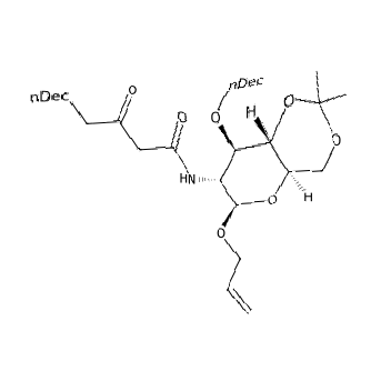 C=CCO[C@@H]1O[C@@H]2COC(C)(C)O[C@H]2[C@H](OCCCCCCCCCC)[C@H]1NC(=O)CC(=O)CCCCCCCCCCC